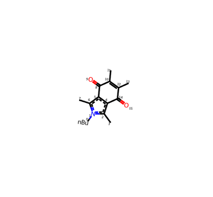 CCCCn1c(C)c2c(c1C)C(=O)C(C)=C(C)C2=O